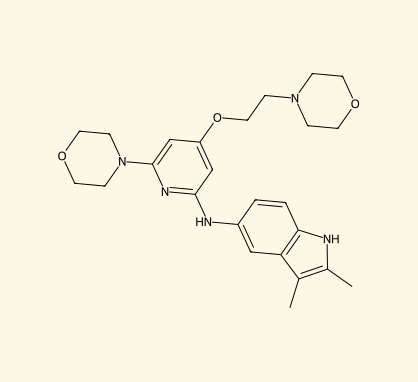 Cc1[nH]c2ccc(Nc3cc(OCCN4CCOCC4)cc(N4CCOCC4)n3)cc2c1C